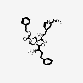 Nc1cc(CNC(=O)C2CN(C(=O)OCc3ccccc3)CCN2C(=O)C(N)CCc2ccccc2)ccn1